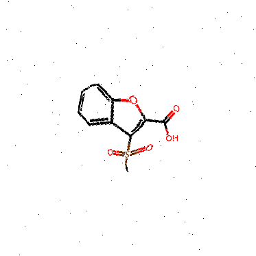 CS(=O)(=O)c1c(C(=O)O)oc2ccccc12